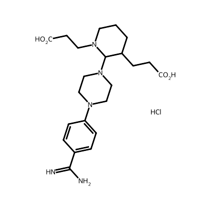 Cl.N=C(N)c1ccc(N2CCN(C3C(CCC(=O)O)CCCN3CCC(=O)O)CC2)cc1